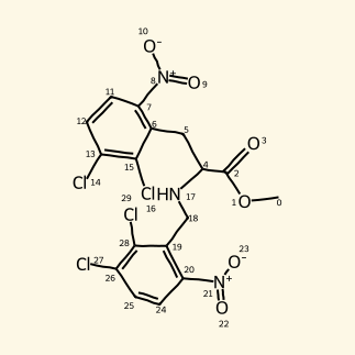 COC(=O)C(Cc1c([N+](=O)[O-])ccc(Cl)c1Cl)NCc1c([N+](=O)[O-])ccc(Cl)c1Cl